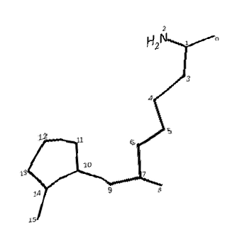 CC(N)CCCCC(C)CC1CCCC1C